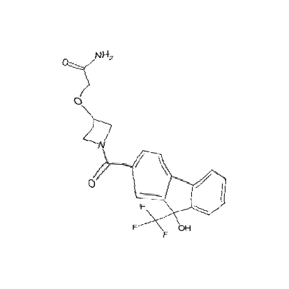 NC(=O)COC1CN(C(=O)c2ccc3c(c2)C(O)(C(F)(F)F)c2ccccc2-3)C1